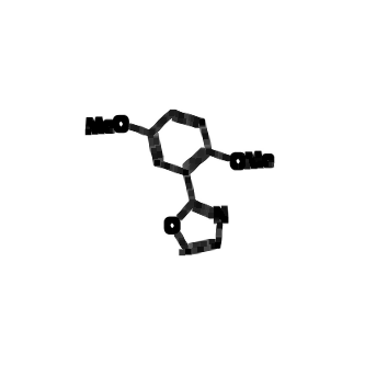 COc1ccc(OC)c(-c2nc[c]o2)c1